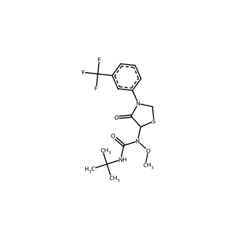 CON(C(=O)NC(C)(C)C)C1SCN(c2cccc(C(F)(F)F)c2)C1=O